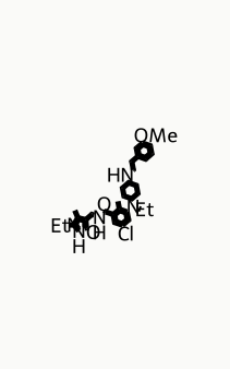 CCn1[nH]c(=O)c(CNC(=O)c2cc(Cl)cc(N(CC)[C@H]3CC[C@H](NCCc4cccc(OC)c4)CC3)c2C)c1C